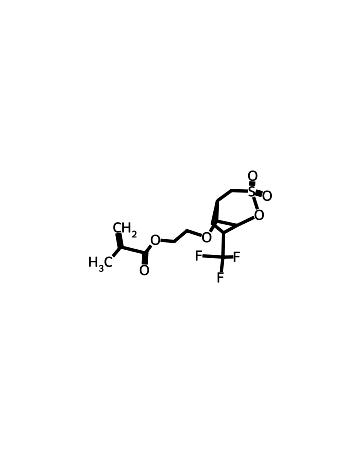 C=C(C)C(=O)OCCOC1C2CC(C(F)(F)F)C1OS(=O)(=O)C2